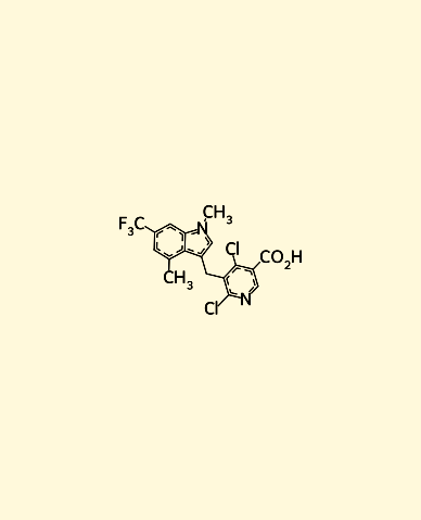 Cc1cc(C(F)(F)F)cc2c1c(Cc1c(Cl)ncc(C(=O)O)c1Cl)cn2C